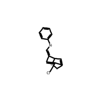 ClC1=C2C(=C[N]c3cc[c]cc3)C3C=C1[C]N23